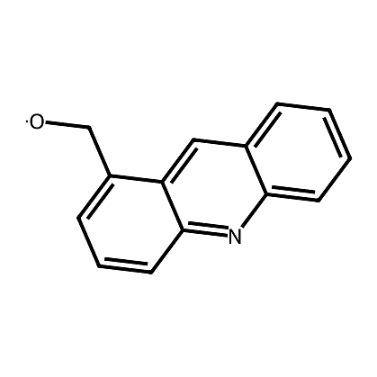 [O]Cc1cccc2nc3ccccc3cc12